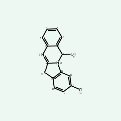 OC1c2ccccc2N=C2Sc3ccc(Cl)cc3N21